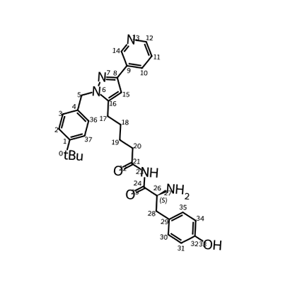 CC(C)(C)c1ccc(Cn2nc(-c3cccnc3)cc2CCCCC(=O)NC(=O)[C@@H](N)Cc2ccc(O)cc2)cc1